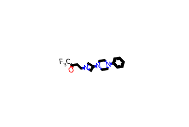 O=C(CCN1CC(N2CCN(c3ccccc3)CC2)C1)C(F)(F)F